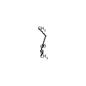 CCCCCCCC/C=C\CCCCCCCC(=O)OCCC1CCN(CCC)CC1